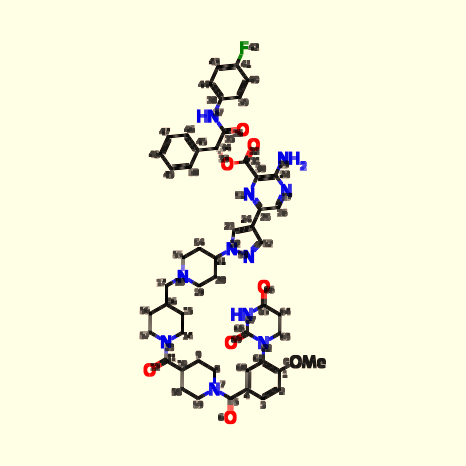 COc1ccc(C(=O)N2CCC(C(=O)N3CCC(CN4CCC(n5cc(-c6cnc(N)c(C(=O)O[C@@H](C(=O)Nc7ccc(F)cc7)c7ccccc7)n6)cn5)CC4)CC3)CC2)cc1N1CCC(=O)NC1=O